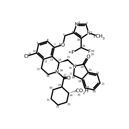 Cn1cnc(COc2ccc(Cl)c3c2[C@@H](CN2Cc4ccccc4C2=O)N(C(=O)C2CCCC[C@H]2C(=O)O)CC3)c1C(F)F